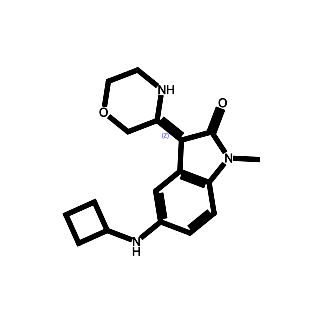 CN1C(=O)/C(=C2/COCCN2)c2cc(NC3CCC3)ccc21